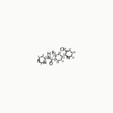 O=C(Nc1ccncn1)c1ccc(-c2ncccc2Cl)cc1F